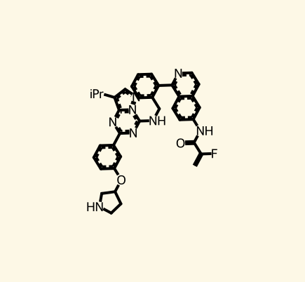 C=C(F)C(=O)Nc1ccc2c(-c3ccccc3CNc3nc(-c4cccc(OC5CCNC5)c4)nc4c(C(C)C)cnn34)nccc2c1